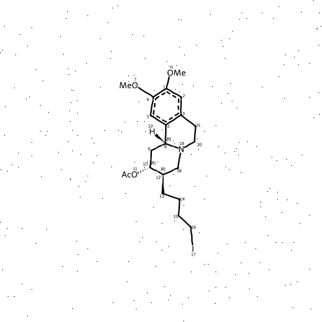 COc1cc2c(cc1OC)[C@H]1C[C@@H](OC(C)=O)[C@H](CCCCI)CN1CC2